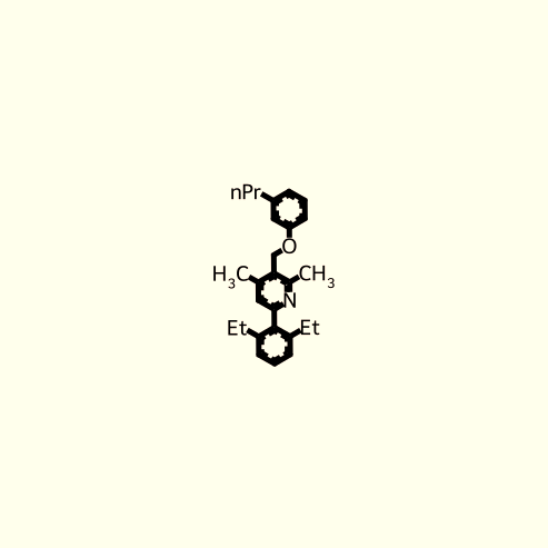 CCCc1cccc(OCc2c(C)cc(-c3c(CC)cccc3CC)nc2C)c1